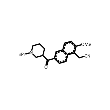 CCCN1CCCC(C(=O)c2ccc3c(CC#N)c(OC)ccc3c2)C1